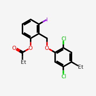 CCC(=O)Oc1cccc(I)c1COc1cc(Cl)c(CC)cc1Cl